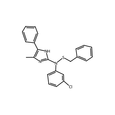 Cc1nc(N(SCc2ccccc2)c2cccc(Cl)c2)[nH]c1-c1ccccc1